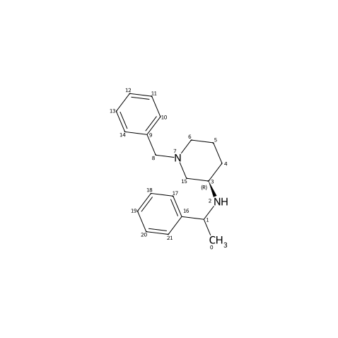 CC(N[C@@H]1CCCN(Cc2ccccc2)C1)c1ccccc1